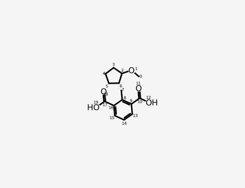 COC1CCCC1.Cc1c(C(=O)O)cccc1C(=O)O